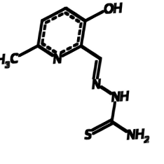 Cc1ccc(O)c(C=NNC(N)=S)n1